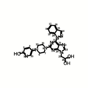 Oc1ccc(N2CCN(c3nc(-n4ncc5ccccc54)c4ncn(CC(O)O)c4n3)CC2)cn1